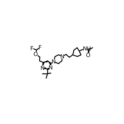 CC(=O)NC1CCC(CCN2CCN(c3cc(CCOC(F)F)nc(C(C)(C)C)n3)CC2)CC1